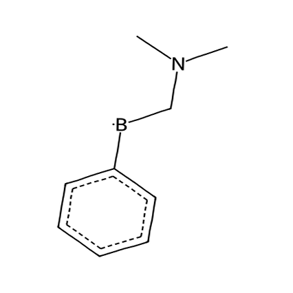 CN(C)C[B]c1ccccc1